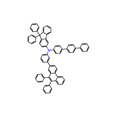 c1ccc(-c2ccc(-c3ccc(N(c4cccc(-c5ccc6c(c5)c(-c5ccccc5)c(-c5ccccc5)c5ccccc56)c4)c4ccc5c(c4)-c4ccccc4C5(c4ccccc4)c4ccccc4)cc3)cc2)cc1